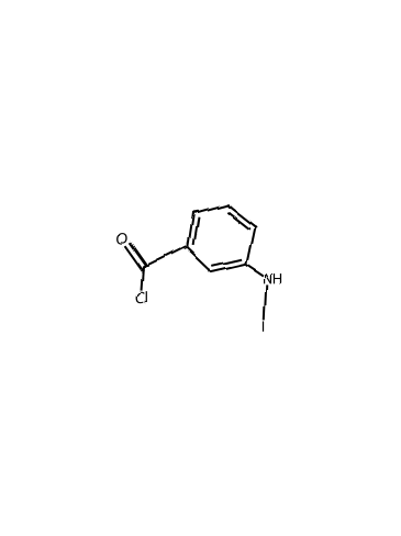 O=C(Cl)c1cccc(NI)c1